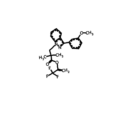 C=C(OC(=O)C(C)(C)Cn1nc(-c2cccc(OC)c2)c2ccccc21)C(F)(F)F